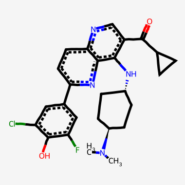 CN(C)[C@H]1CC[C@H](Nc2c(C(=O)C3CC3)cnc3ccc(-c4cc(F)c(O)c(Cl)c4)nc23)CC1